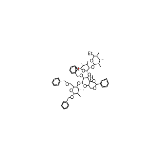 CCC1O[C@@H](O[C@@H]2C(OCc3ccccc3)[C@H](O[C@@H]3C(COCc4ccccc4)O[C@@H](OCc4ccccc4)C(C)[C@H]3C)OC3COC(c4ccccc4)O[C@H]32)[C@@H](O[C@@H]2OC(CC)[C@@H](C)[C@H](C)C2C)C(C)[C@H]1C